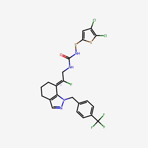 O=C(NC/C(F)=C1\CCCc2cnn(Cc3ccc(C(F)(F)F)cc3)c21)NSc1cc(Cl)c(Cl)s1